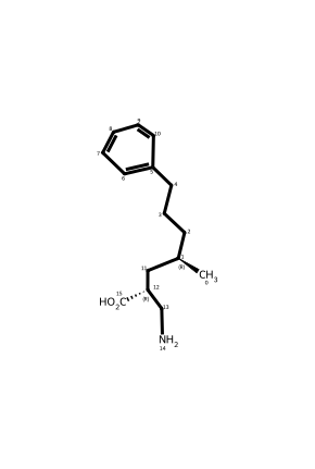 C[C@H](CCCc1ccccc1)C[C@H](CN)C(=O)O